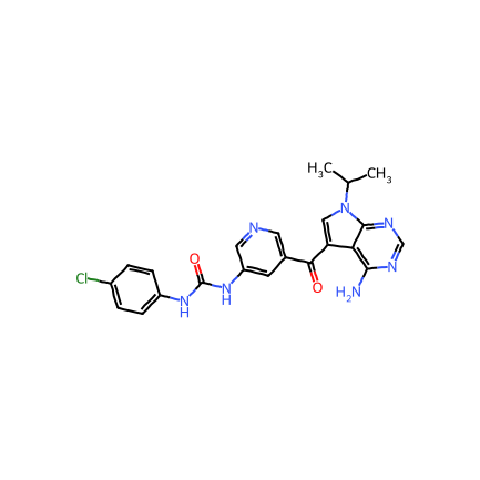 CC(C)n1cc(C(=O)c2cncc(NC(=O)Nc3ccc(Cl)cc3)c2)c2c(N)ncnc21